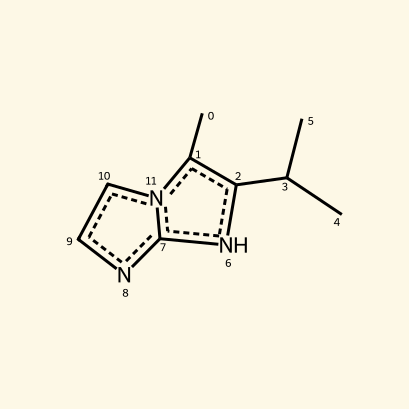 Cc1c(C(C)C)[nH]c2nccn12